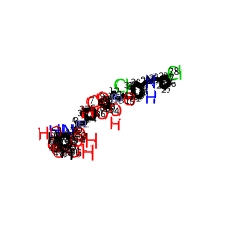 C/C(=C\c1ccc(O[C@@H]2O[C@H](/C(C)=C/COc3ccc(CNCc4cccc(Cl)c4)cc3Cl)[C@@H](O)[C@@H]2O)cc1)C(=O)N[C@@H]1[C@H](O)[C@@H](O)[C@H]2OCO[C@H]2[C@@H]1O